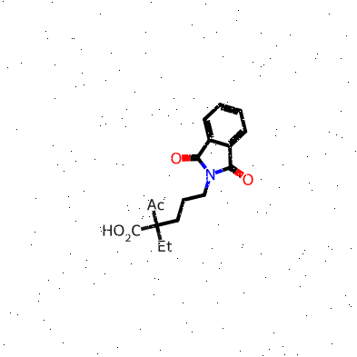 CCC(CCCN1C(=O)c2ccccc2C1=O)(C(C)=O)C(=O)O